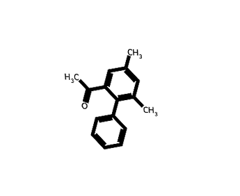 CC(=O)c1cc(C)cc(C)c1-c1ccccc1